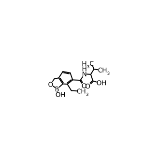 CCc1c(C(=O)NC(C(=O)O)C(C)C)ccc2c1B(O)OC2